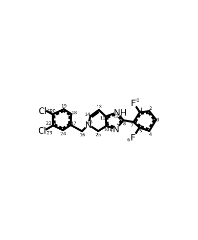 Fc1cccc(F)c1-c1nc2c([nH]1)C=CN(Cc1ccc(Cl)c(Cl)c1)C2